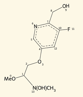 COC(COc1cnc(CO)c(F)c1)N(C)O